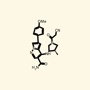 COc1ccc(-c2cc3c(N[C@@H]4CN(C(=O)CC#N)C[C@H]4C)c(C(N)=O)cnn3c2)cc1